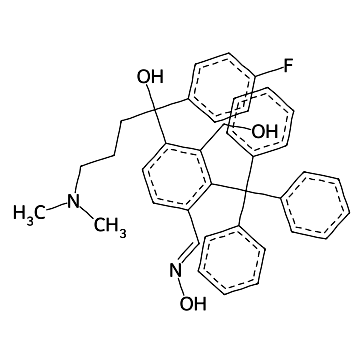 CN(C)CCCC(O)(c1ccc(F)cc1)c1ccc(C=NO)c(C(c2ccccc2)(c2ccccc2)c2ccccc2)c1CO